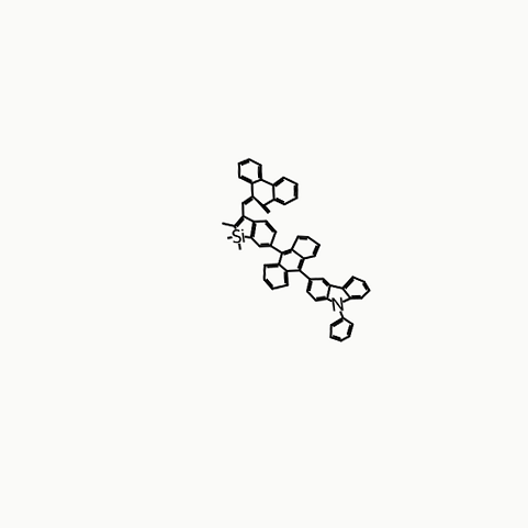 C=c1/c(=C\C2=C(C)[Si](C)(C)c3cc(-c4c5ccccc5c(-c5ccc6c(c5)c5ccccc5n6-c5ccccc5)c5ccccc45)ccc32)c2ccccc2c2ccccc12